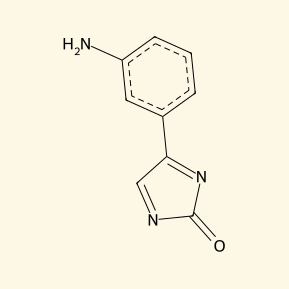 Nc1cccc(C2=NC(=O)N=C2)c1